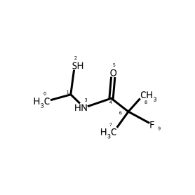 CC(S)NC(=O)C(C)(C)F